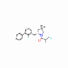 C[C@H](CF)C(=O)N1CC2(CC2)C[C@@H]1Cc1cccc(-c2ccccc2)c1F